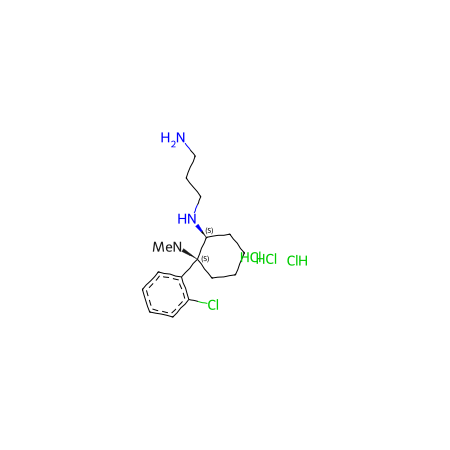 CN[C@]1(c2ccccc2Cl)CCCC[C@@H]1NCCCN.Cl.Cl.Cl